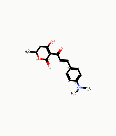 CC1CC(O)=C(C(=O)/C=C/c2ccc(N(C)C)cc2)C(=O)O1